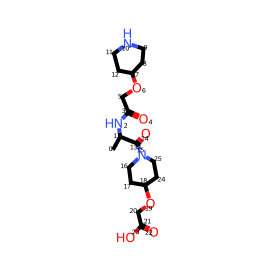 CC(NC(=O)COC1CCNCC1)C(=O)N1CCC(OCC(=O)O)CC1